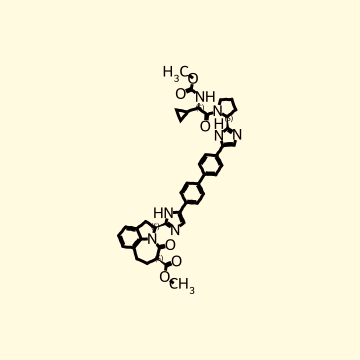 COC(=O)N[C@H](C(=O)N1CCC[C@H]1c1ncc(-c2ccc(-c3ccc(-c4cnc([C@@H]5Cc6cccc7c6N5C(=O)[C@@H](C(=O)OC)CC7)[nH]4)cc3)cc2)[nH]1)C1CC1